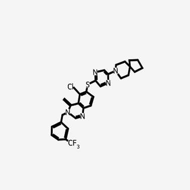 C=C1c2c(ccc(Sc3cnc(N4CCC5(CCCC5)CC4)cn3)c2Cl)N=CN1Cc1cccc(C(F)(F)F)c1